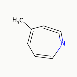 CC1=CC=CN=C=C1